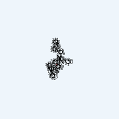 c1ccc(-c2cc(-c3cccc(-c4cccc5c4sc4ccccc45)c3)nc(-c3ccc(-c4cccc5nc(-c6ccccc6)c6sc7ccccc7c6c45)cc3)n2)cc1